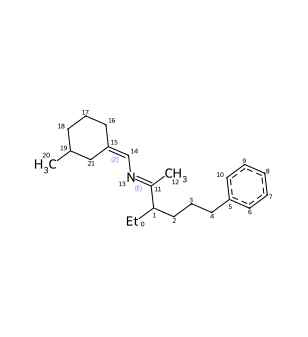 CCC(CCCc1ccccc1)/C(C)=N/C=C1/CCCC(C)C1